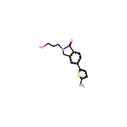 Cc1ccc(-c2ccc3c(c2)CN(CCCO)C3=O)s1